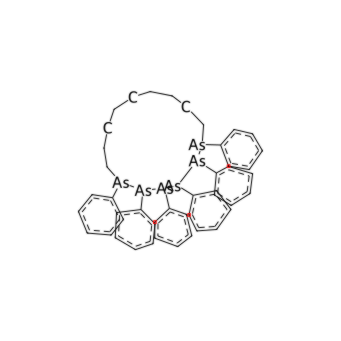 c1ccc([As]2CCCCCCCCC[As](c3ccccc3)[As](c3ccccc3)[As](c3ccccc3)[As](c3ccccc3)[As]2c2ccccc2)cc1